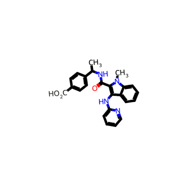 CC(NC(=O)c1c(Nc2ccccn2)c2ccccc2n1C)c1ccc(C(=O)O)cc1